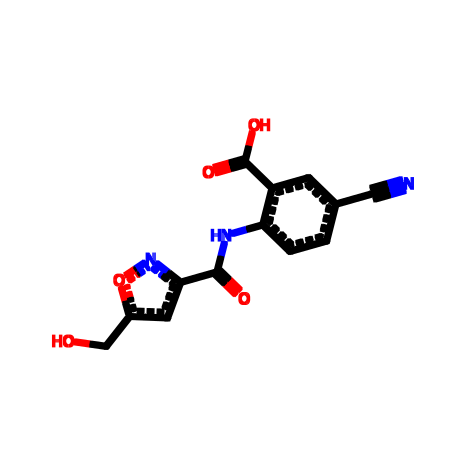 N#Cc1ccc(NC(=O)c2cc(CO)on2)c(C(=O)O)c1